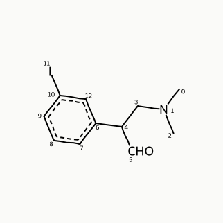 CN(C)CC(C=O)c1cccc(I)c1